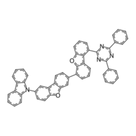 c1ccc(-c2nc(-c3ccccc3)nc(-c3cccc4oc5c(-c6ccc7c(c6)oc6ccc(-n8c9ccccc9c9ccccc98)cc67)cccc5c34)n2)cc1